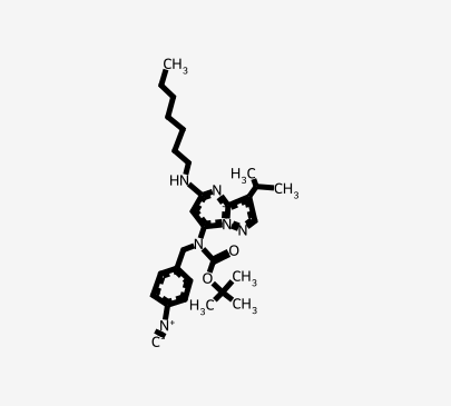 [C-]#[N+]c1ccc(CN(C(=O)OC(C)(C)C)c2cc(NCCCCCCC)nc3c(C(C)C)cnn23)cc1